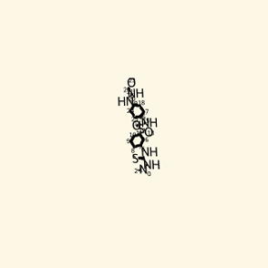 CN(C)NC(=S)Nc1cccc(S(=O)(=O)Nc2ccc(NNC=O)cc2)c1